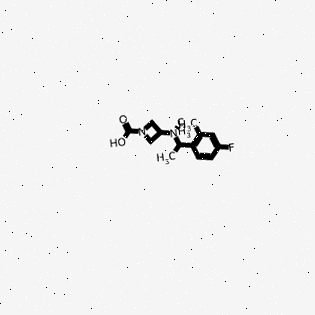 Cc1cc(F)ccc1C(C)N(C)C1CN(C(=O)O)C1